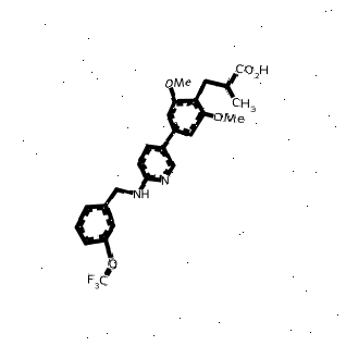 COc1cc(-c2ccc(NCc3cccc(OC(F)(F)F)c3)nc2)cc(OC)c1CC(C)C(=O)O